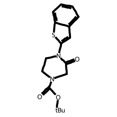 CC(C)(C)OC(=O)N1CCN(c2cc3ccccc3s2)C(=O)C1